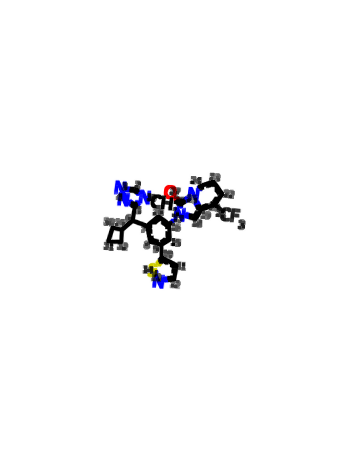 Cn1cnnc1C(c1cc(-c2ccns2)cc(-n2cc3c(C(F)(F)F)cccn3c2=O)c1)C1CCC1